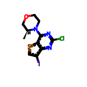 C[C@@H]1COCCN1c1nc(Cl)nc2c(I)csc12